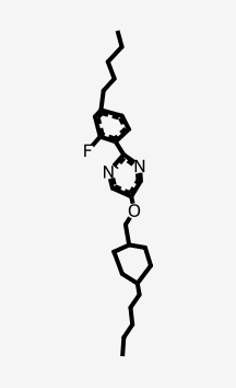 CCCCCc1ccc(-c2ncc(OCC3CCC(CCCCC)CC3)cn2)c(F)c1